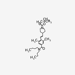 CCCCN(CCCC)C(=O)c1cc(C)c(C=CC2CCN(C(=O)OC(C)(C)C)CC2)c(C)c1